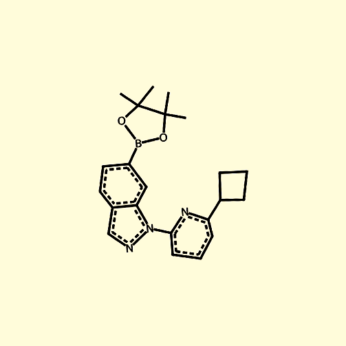 CC1(C)OB(c2ccc3cnn(-c4cccc(C5CCC5)n4)c3c2)OC1(C)C